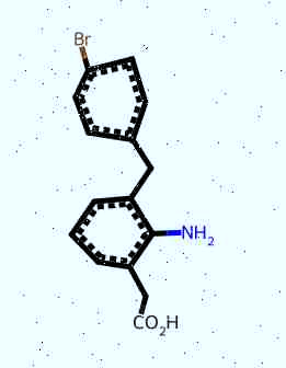 Nc1c(CC(=O)O)cccc1Cc1ccc(Br)cc1